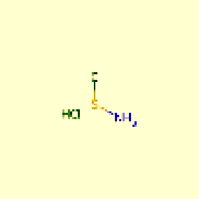 Cl.NSCl